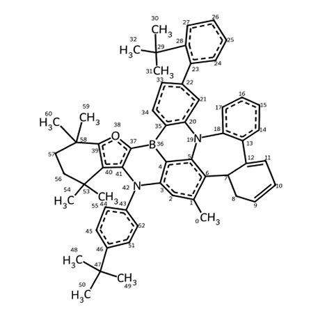 Cc1cc2c3c4c1C1CC=CC=C1c1ccccc1N4c1cc(-c4ccccc4C(C)(C)C)ccc1B3c1oc3c(c1N2c1ccc(C(C)(C)C)cc1)C(C)(C)CCC3(C)C